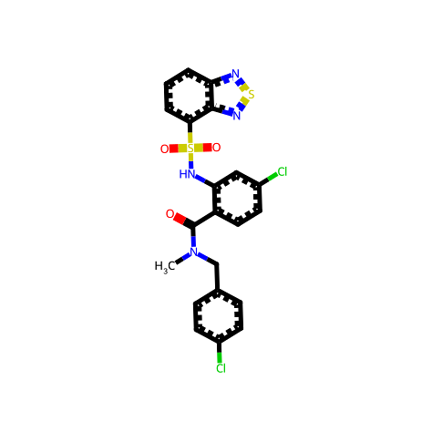 CN(Cc1ccc(Cl)cc1)C(=O)c1ccc(Cl)cc1NS(=O)(=O)c1cccc2nsnc12